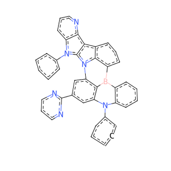 c1ccc(N2c3ccccc3B3c4c2cc(-c2ncccn2)cc4-n2c4c3cccc4c3c4ncccc4n(-c4ccccc4)c32)cc1